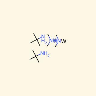 CC(C)(C)N.CC(C)(C)N.CNC.CNC.[W]